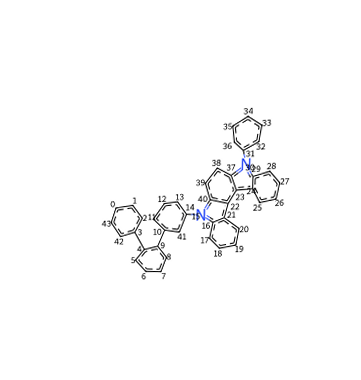 c1ccc(-c2ccccc2-c2cccc(-n3c4ccccc4c4c5c6ccccc6n(-c6ccccc6)c5ccc43)c2)cc1